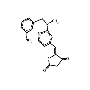 CN(Cc1cccc(N)c1)c1nccc(/C=C2\SC(=O)CC2=O)n1